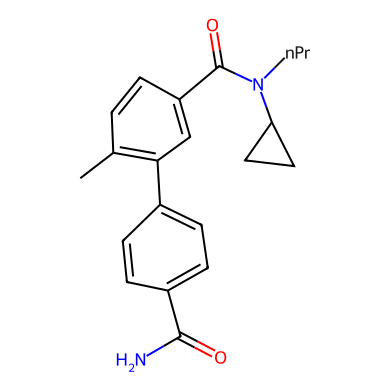 CCCN(C(=O)c1ccc(C)c(-c2ccc(C(N)=O)cc2)c1)C1CC1